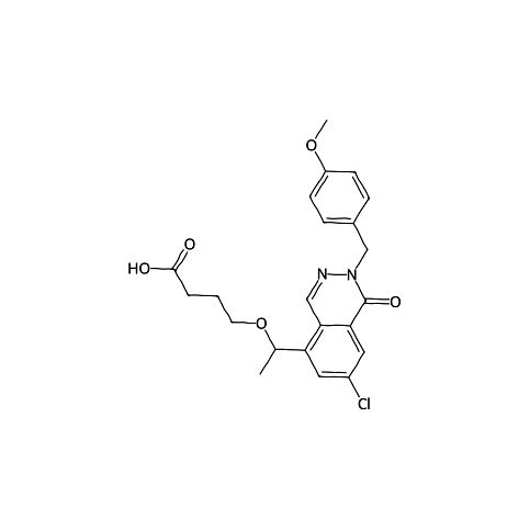 COc1ccc(Cn2ncc3c(C(C)OCCCC(=O)O)cc(Cl)cc3c2=O)cc1